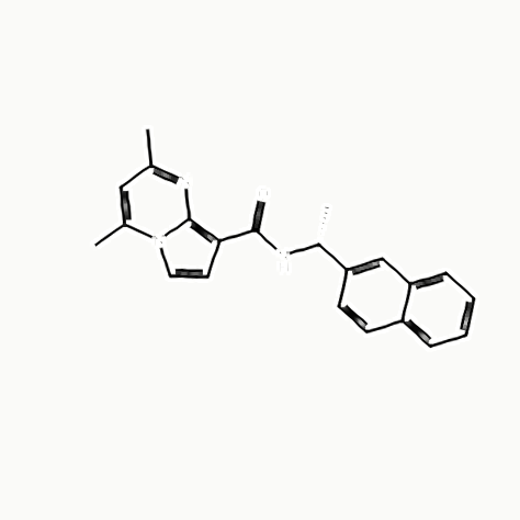 Cc1cc(C)n2ccc(C(=O)N[C@H](C)c3ccc4ccccc4c3)c2n1